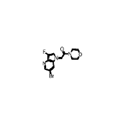 O=C(Cn1cc(F)c2ncc(Br)cc21)N1CCOCC1